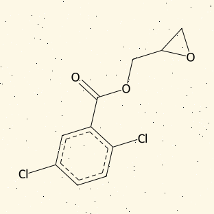 O=C(OCC1CO1)c1cc(Cl)ccc1Cl